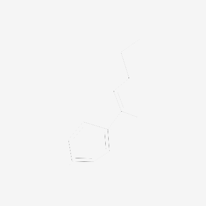 CCCC=C(C)c1ccccc1